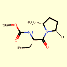 CC[C@H]1CC[C@@H](C(=O)O)N1C(=O)[C@H](CC(C)C)NC(=O)OC(C)(C)C